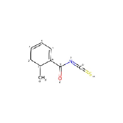 CC1CC=CC=C1C(=O)N=C=S